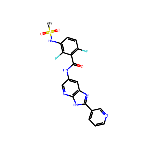 CCCS(=O)(=O)Nc1ccc(F)c(C(=O)Nc2cnc3[nH]c(-c4cccnc4)nc3c2)c1F